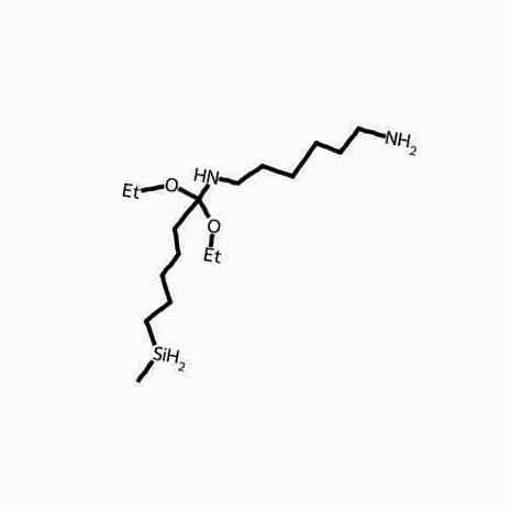 CCOC(CCCCC[SiH2]C)(NCCCCCCN)OCC